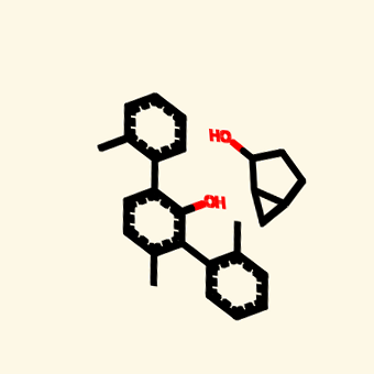 Cc1ccccc1-c1ccc(C)c(-c2ccccc2C)c1O.OC1CCC2CC12